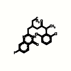 CCN(CC(=O)N(C)c1c(Cl)cccc1Cl)Cc1nc2cc(F)ccc2c(=O)[nH]1